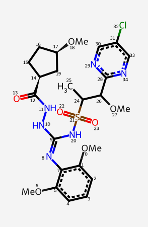 COc1cccc(OC)c1/N=C(/NNC(=O)[C@H]1CC[C@@H](OC)C1)NS(=O)(=O)C(C)C(OC)c1ncc(Cl)cn1